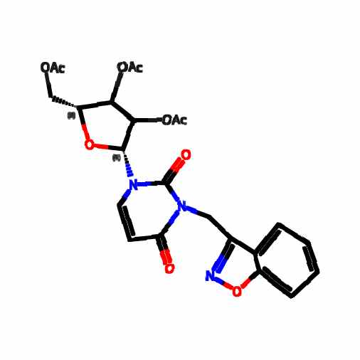 CC(=O)OC[C@H]1O[C@@H](n2ccc(=O)n(Cc3noc4ccccc34)c2=O)C(OC(C)=O)C1OC(C)=O